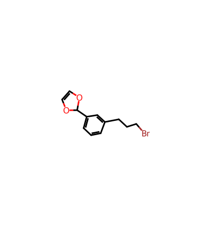 BrCCCc1cccc(C2OC=CO2)c1